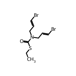 CCSC(=O)N(CC=CBr)CC=CBr